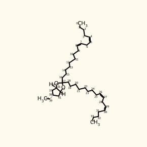 CCCC/C=C\C/C=C\CCCCCCCCC1(CCCCCCCC/C=C\C/C=C\CCCC)O[C@H]2C[C@@H](CC)C[C@H]2O1